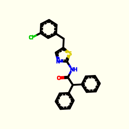 O=C(Nc1ncc(Cc2cccc(Cl)c2)s1)C(c1ccccc1)c1ccccc1